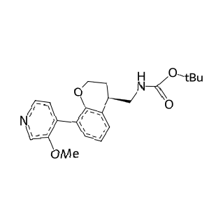 COc1cnccc1-c1cccc2c1OCC[C@H]2CNC(=O)OC(C)(C)C